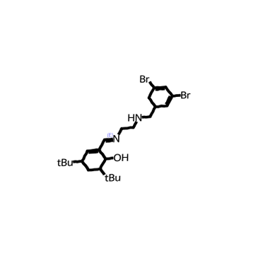 CC(C)(C)C1C=C(/C=N/CCNCC2C=C(Br)C=C(Br)C2)C(O)C(C(C)(C)C)C1